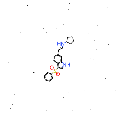 O=S(=O)(c1ccccc1)c1c[nH]c2cc(CCNC3CCCC3)ccc12